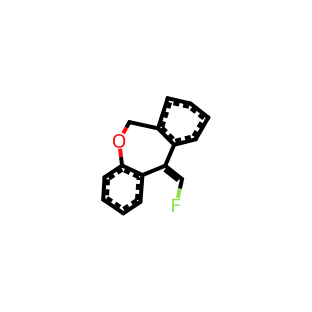 F/C=C1/c2ccccc2COc2ccccc21